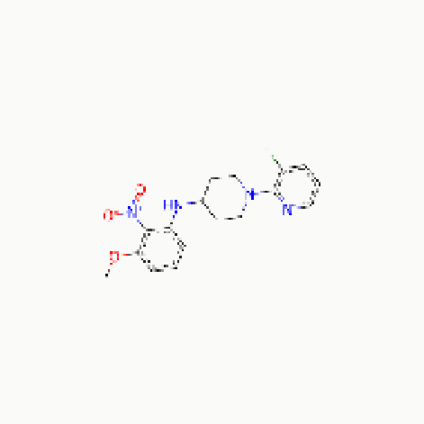 COc1cccc(NC2CCN(c3ncccc3F)CC2)c1[N+](=O)[O-]